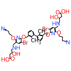 Cc1c(COc2nc(OCCCC#N)c(CNCC(O)CC(=O)O)cc2Br)cccc1-c1cccc(COc2nc(OCCCC#N)c(CNCC(O)CC(=O)O)cc2Br)c1C